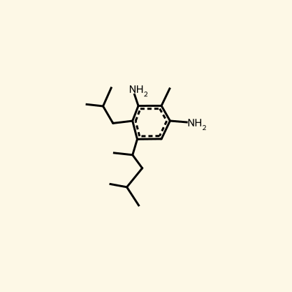 Cc1c(N)cc(C(C)CC(C)C)c(CC(C)C)c1N